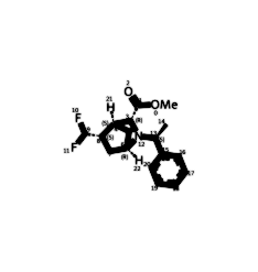 COC(=O)[C@H]1[C@H]2C[C@H](C[C@@H]2C(F)F)N1[C@@H](C)c1ccccc1